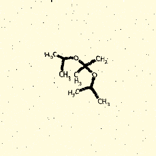 [CH2]C(C)(OC(C)C)OC(C)C